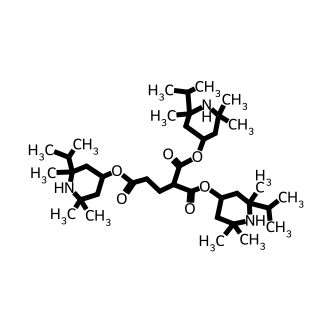 CC(C)C1(C)CC(OC(=O)CCC(C(=O)OC2CC(C)(C)NC(C)(C(C)C)C2)C(=O)OC2CC(C)(C)NC(C)(C(C)C)C2)CC(C)(C)N1